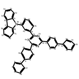 c1ccc(-c2ccc(-c3nc(-c4ccc(-c5ccccc5)cc4)nc(-c4cccc(-n5c6ccccc6c6ccccc65)c4)n3)cc2)cc1